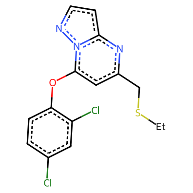 CCSCc1cc(Oc2ccc(Cl)cc2Cl)n2nccc2n1